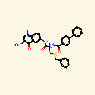 O=C(N[C@@H](CSCc1ccccc1)C(=O)Nc1ccc2[nH]cc(C(=O)O)c(=O)c2c1)c1ccc(-c2ccccc2)cc1